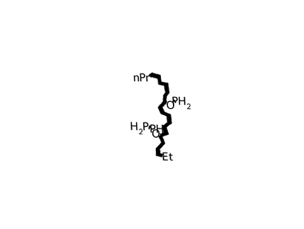 CC/C=C\CC(/C=C/C=C\C=C/C(C/C=C\C/C=C\CCC)OP)OPP